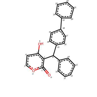 O=c1occc(O)c1C(c1ccccc1)c1ccc(-c2ccccc2)cc1